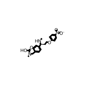 CN[C@@H](CCOc1ccc([N+](=O)[O-])cc1)c1ccc(CN(C)C(=O)O)cc1